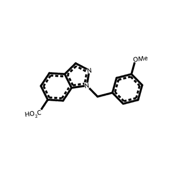 COc1cccc(Cn2ncc3ccc(C(=O)O)cc32)c1